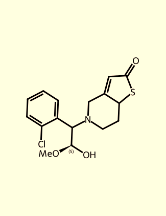 CO[C@H](O)C(c1ccccc1Cl)N1CCC2SC(=O)C=C2C1